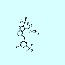 COC(=O)c1c(C(F)(F)F)nn2c1N(Cc1cc(F)cc(C(F)(F)F)c1)CC2